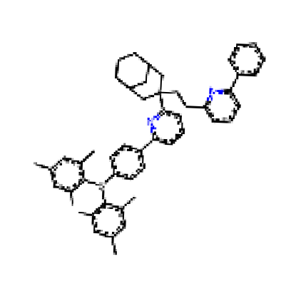 Cc1cc(C)c(B(c2ccc(-c3cccc(C4(CCc5cccc(-c6ccccc6)n5)CC5CCCC(C5)C4)n3)cc2)c2c(C)cc(C)cc2C)c(C)c1